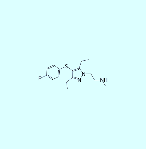 CCc1nn(CCNC)c(CC)c1Sc1ccc(F)cc1